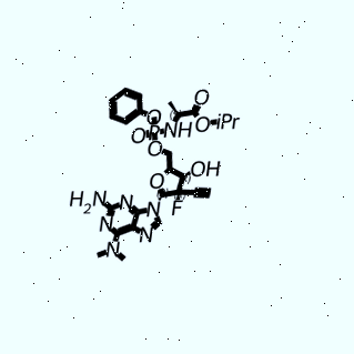 C#C[C@@]1(F)[C@H](O)C(COP(=O)(N[C@@H](C)C(=O)OC(C)C)Oc2ccccc2)O[C@H]1n1cnc2c(N(C)C)nc(N)nc21